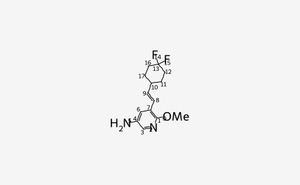 COc1ncc(N)cc1C=CC1CCC(F)(F)CC1